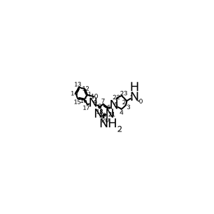 CNC1CCN(c2cc(N3Cc4ccccc4C3)nc(N)n2)CC1